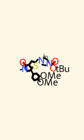 COc1ccc(-c2cn(C)c(=O)c3cc(CN4CCN(C(=O)OC(C)(C)C)C[C@H]4C)sc23)cc1OC